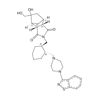 O=C1[C@H]2[C@H]3C[C@@H]([C@H]2C(=O)N1C[C@@H]1CCCC[C@H]1CN1CCN(c2nsc4ccccc24)CC1)C(O)(CO)C3